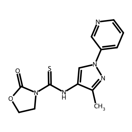 Cc1nn(-c2cccnc2)cc1NC(=S)N1CCOC1=O